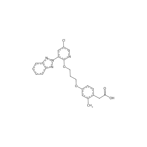 Cc1cc(OCCCOc2ncc(Cl)cc2-n2nc3ccccc3n2)ccc1CC(=O)O